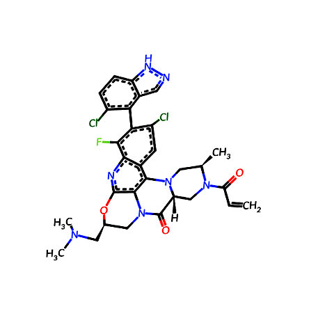 C=CC(=O)N1C[C@@H]2C(=O)N3C[C@@H](CN(C)C)Oc4nc5c(F)c(-c6c(Cl)ccc7[nH]ncc67)c(Cl)cc5c(c43)N2C[C@H]1C